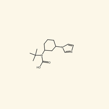 CC(C)(C)N(C(=O)O)C1CCCC(n2ccnc2)C1